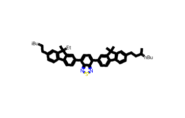 CCCCC(C)CCc1ccc2c(c1)C(C)(C)c1cc(-c3ccc(-c4ccc5c(c4)C(C)(CC)c4cc(CCC(C)CC)ccc4-5)c4nsnc34)ccc1-2